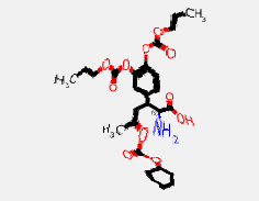 CCCOC(=O)Oc1ccc(C(CC(C)OC(=O)OC2CCCCC2)[C@H](N)C(=O)O)cc1OC(=O)OCCC